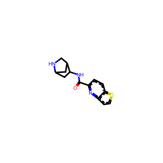 O=C(NC1CC2CC1CN2)c1ccc2sccc2n1